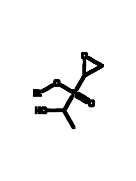 CCOP(=O)(C(C)O)C1CO1